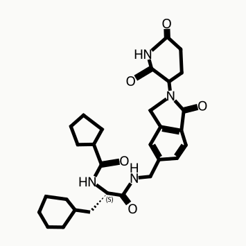 O=C1CCC(N2Cc3cc(CNC(=O)[C@H](CC4CCCCC4)NC(=O)C4CCCC4)ccc3C2=O)C(=O)N1